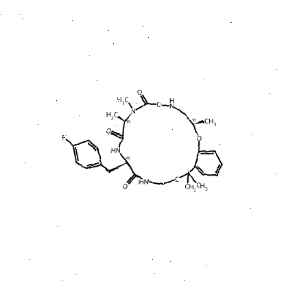 C[C@@H]1CNCC(=O)N(C)[C@H](C)C(=O)N[C@H](Cc2ccc(F)cc2)C(=O)NCCC(C)(C)c2ccccc2O1